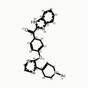 CC(=O)N1CC=C(c2nccnc2OC2=CCC(C(=O)c3nc4ccccc4[nH]3)C=C2)CC1